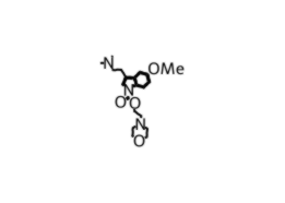 COc1ccc2c(c1)c(CCN(C)C)cn2C(=O)OCCN1CCOCC1